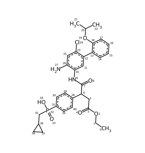 CCOC(=O)CC(C(=O)Nc1cc(-c2ccccc2OC(C)C)c(Cl)cc1N)c1ccc(P(=O)(O)CC2CC2)cc1